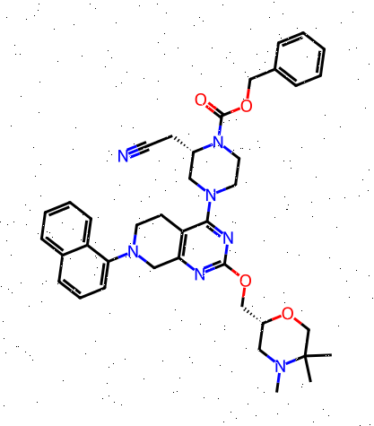 CN1C[C@H](COc2nc3c(c(N4CCN(C(=O)OCc5ccccc5)[C@@H](CC#N)C4)n2)CCN(c2cccc4ccccc24)C3)OCC1(C)C